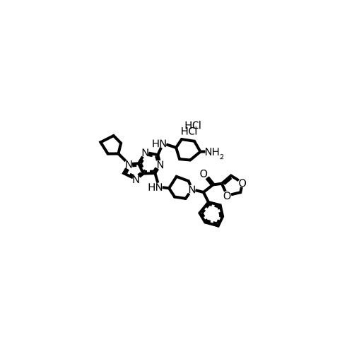 Cl.Cl.NC1CCC(Nc2nc(NC3CCN(C(C(=O)C4=COCO4)c4ccccc4)CC3)c3ncn(C4CCCC4)c3n2)CC1